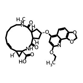 CCOc1cc(O[C@@H]2C[C@H]3C(=O)N[C@]4(C(=O)O)C[C@H]4/C=C\CCCCN(C)C(=O)[C@@H]3C2)c2ccc3c(c2n1)OCO3